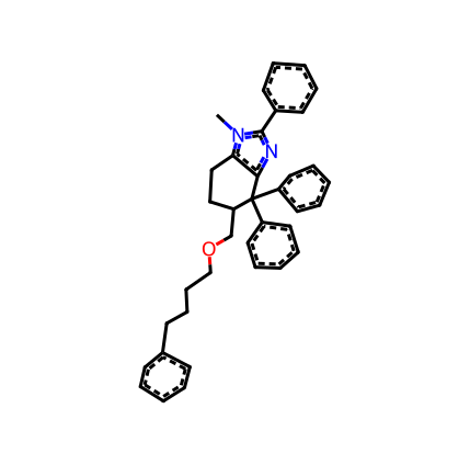 Cn1c(-c2ccccc2)nc2c1CCC(COCCCCc1ccccc1)C2(c1ccccc1)c1ccccc1